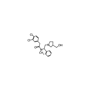 CN(C(=O)Cc1ccc(Cl)c(Cl)c1)C(CN1CCC(CO)C1)c1ccccc1